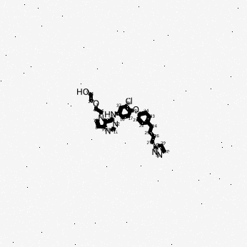 OCCOCCn1ccc2ncnc(Nc3ccc(Oc4ccc(CCCCn5ccnn5)cc4)c(Cl)c3)c21